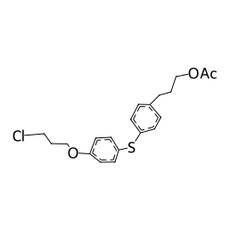 CC(=O)OCCCc1ccc(Sc2ccc(OCCCCl)cc2)cc1